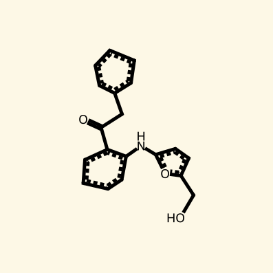 O=C(Cc1ccccc1)c1ccccc1Nc1ccc(CO)o1